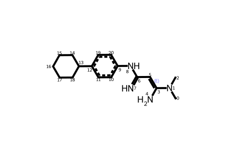 CN(C)/C(N)=C/C(=N)Nc1ccc(C2CCCCC2)cc1